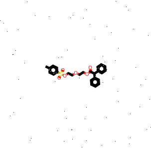 Cc1ccc(S(=O)(=O)OCCOCCOC(=O)C(c2ccccc2)c2ccccc2)cc1